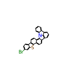 Brc1ccc2c(c1)sc1c2ccc2c1ccc1c3cccc4c5ccccc5n(c21)c43